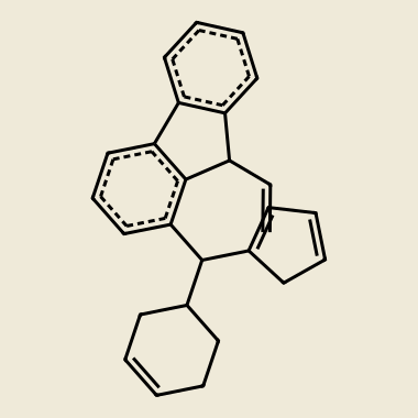 C=CC1c2ccccc2-c2cccc(C(C3=CC=CC3)C3CC=CCC3)c21